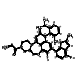 C=CC(=O)N1CCN2c3nc(=O)n(-c4c(C)ccnc4C(C)C)c4cc(-c5ccc(F)c6nc(N)sc56)c(F)c(c34)OCC2C1